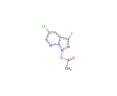 CC(=O)On1nc(I)c2cc(Cl)cnc21